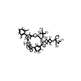 Cc1cccc(C)c1-c1cc2nc(n1)NS(=O)(=O)c1cccc(c1)C(=O)N([C@H]1CC3(C[C@H](C(=O)N(C)C)C3)C1)[C@H](CC(C)(C)C)CO2